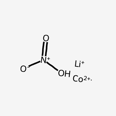 O=[N+]([O-])O.[Co+2].[Li+]